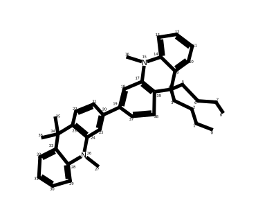 CCCCC1(CCCC)c2ccccc2N(C)c2cc(-c3ccc4c(c3)N(C)c3ccccc3C4(C)C)ccc21